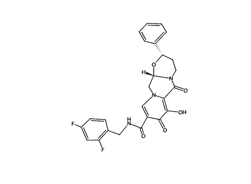 O=C(NCc1ccc(F)cc1F)c1cn2c(c(O)c1=O)C(=O)N1CC[C@@H](c3ccccc3)O[C@H]1C2